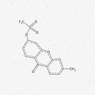 Cc1ccc2c(=O)c3ccc(OS(=O)(=O)C(F)(F)F)cc3oc2c1